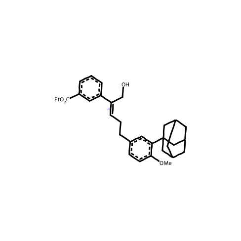 CCOC(=O)c1cccc(/C(=C/CCc2ccc(OC)c(C34CC5CC(CC(C5)C3)C4)c2)CO)c1